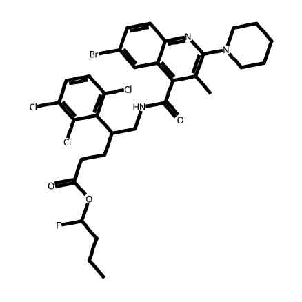 CCCC(F)OC(=O)CCC(CNC(=O)c1c(C)c(N2CCCCC2)nc2ccc(Br)cc12)c1c(Cl)ccc(Cl)c1Cl